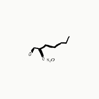 CCCCCC(=O)C=O.O